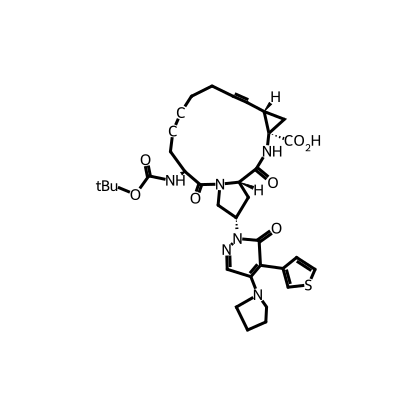 CC(C)(C)OC(=O)N[C@H]1CCCCC/C=C\[C@@H]2C[C@@]2(C(=O)O)NC(=O)[C@@H]2C[C@H](n3ncc(N4CCCC4)c(-c4ccsc4)c3=O)CN2C1=O